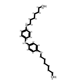 OCCCCCCSc1ccc(Sc2ccc(SCCCCCCO)cc2)cc1